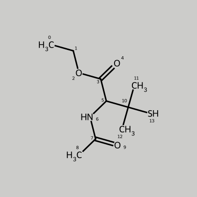 CCOC(=O)C(NC(C)=O)C(C)(C)S